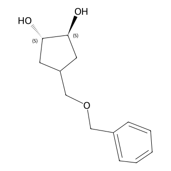 O[C@H]1CC(COCc2ccccc2)C[C@@H]1O